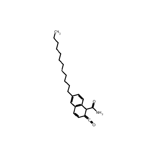 CCCCCCCCCCCCc1ccc2c(c1)C=CC(=C=O)C2C(N)=O